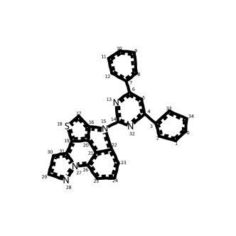 c1ccc(-c2cc(-c3ccccc3)nc(-n3c4csc5c4c4c3cccc4n3nccc53)n2)cc1